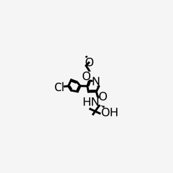 COCCOc1ncc(C(=O)N[C@H](CO)C(C)(C)C)cc1-c1ccc(Cl)cc1